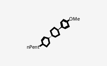 CCCCCC1C=CC([C@H]2CC[C@H](c3ccc(OC)cc3)CC2)CC1